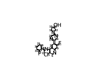 CC(Nc1c(Cl)cnc2cc(F)c(-c3cnc(N4CCC(O)C4)cn3)cc12)c1ccccc1F